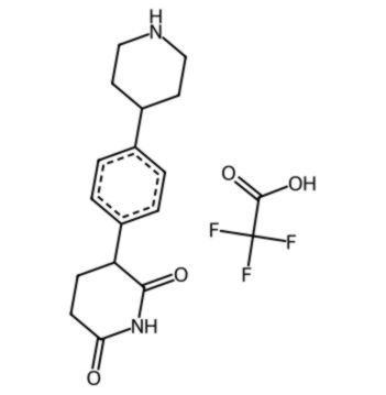 O=C(O)C(F)(F)F.O=C1CCC(c2ccc(C3CCNCC3)cc2)C(=O)N1